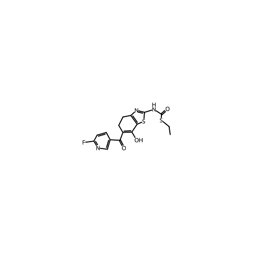 CCSC(=O)Nc1nc2c(s1)C(O)=C(C(=O)c1ccc(F)nc1)CC2